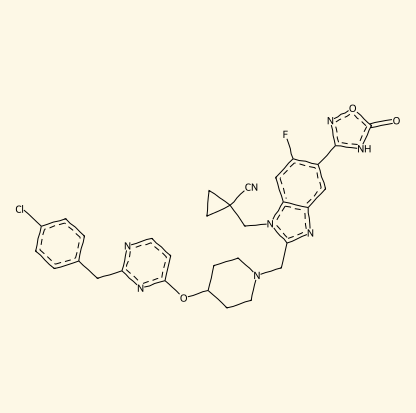 N#CC1(Cn2c(CN3CCC(Oc4ccnc(Cc5ccc(Cl)cc5)n4)CC3)nc3cc(-c4noc(=O)[nH]4)c(F)cc32)CC1